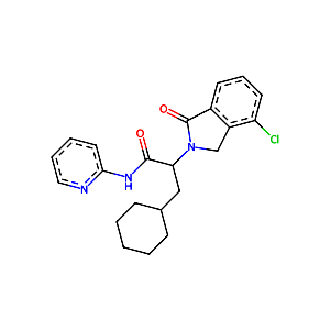 O=C(Nc1ccccn1)C(CC1CCCCC1)N1Cc2c(Cl)cccc2C1=O